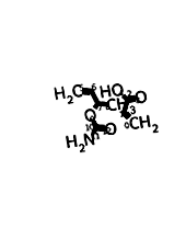 C=CC(=O)O.C=CC(C)OC(N)=O